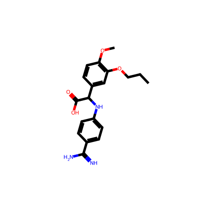 CCCOc1cc(C(Nc2ccc(C(=N)N)cc2)C(=O)O)ccc1OC